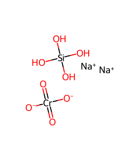 O[Si](O)(O)O.[Na+].[Na+].[O]=[Cr](=[O])([O-])[O-]